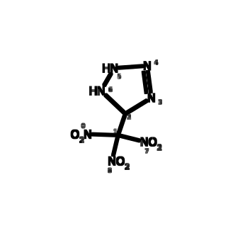 O=[N+]([O-])C([C]1N=NNN1)([N+](=O)[O-])[N+](=O)[O-]